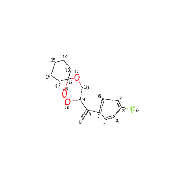 C=C(c1ccc(F)cc1)C1COC2(CCCCC2)OO1